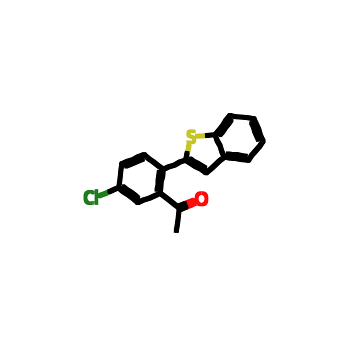 CC(=O)c1cc(Cl)ccc1-c1cc2ccccc2s1